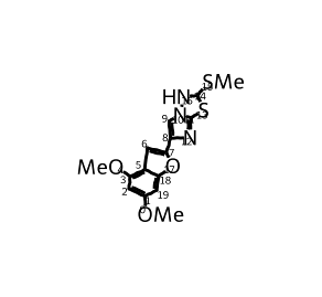 COc1cc(OC)c2cc(-c3cn4c(n3)SC(SC)N4)oc2c1